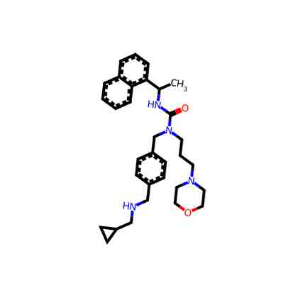 CC(NC(=O)N(CCCN1CCOCC1)Cc1ccc(CNCC2CC2)cc1)c1cccc2ccccc12